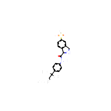 CCOC(=O)CC(c1ccc(NC(=O)C2NCc3cc(S(C)(=O)=O)ccc32)cc1)(C(F)(F)F)C(F)(F)F